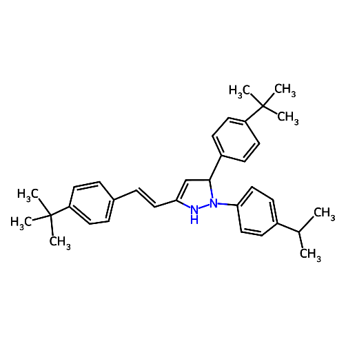 CC(C)c1ccc(N2NC(C=Cc3ccc(C(C)(C)C)cc3)=CC2c2ccc(C(C)(C)C)cc2)cc1